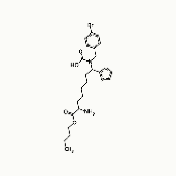 CCCCOC(=O)C(N)CCCCCC(c1cccs1)N(Cc1ccc(Br)cc1)C(=O)O